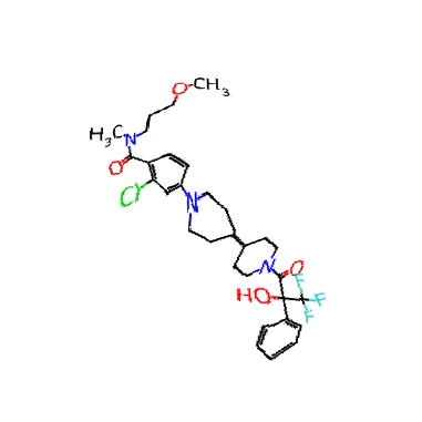 COCCCN(C)C(=O)c1ccc(N2CCC(C3CCN(C(=O)C(O)(c4ccccc4)C(F)(F)F)CC3)CC2)cc1Cl